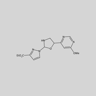 CCOC(=O)c1ccn(C2NCC(c3cc(OC)ncn3)O2)n1